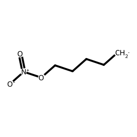 [CH2]CCCCO[N+](=O)[O-]